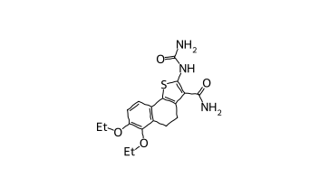 CCOc1ccc2c(c1OCC)CCc1c-2sc(NC(N)=O)c1C(N)=O